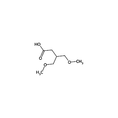 COCC(COC)CC(=O)O